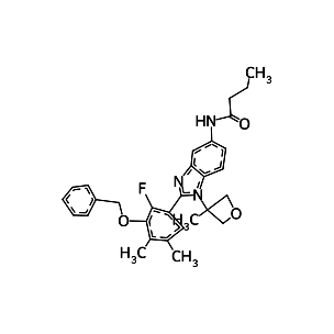 CCCC(=O)Nc1ccc2c(c1)nc(-c1cc(C)c(C)c(OCc3ccccc3)c1F)n2C1(C)COC1